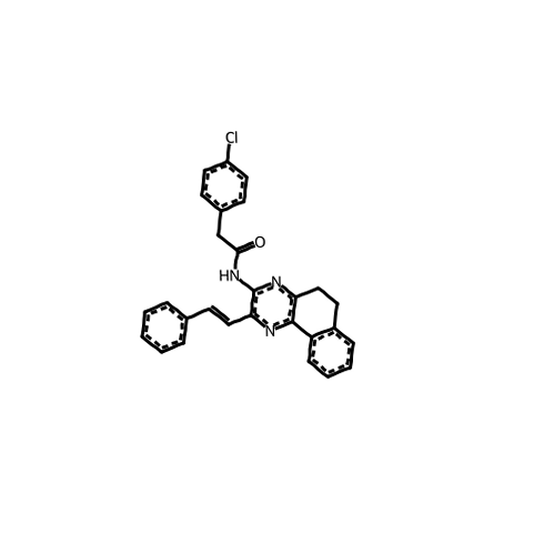 O=C(Cc1ccc(Cl)cc1)Nc1nc2c(nc1/C=C/c1ccccc1)-c1ccccc1CC2